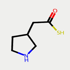 O=C(S)CC1CCNC1